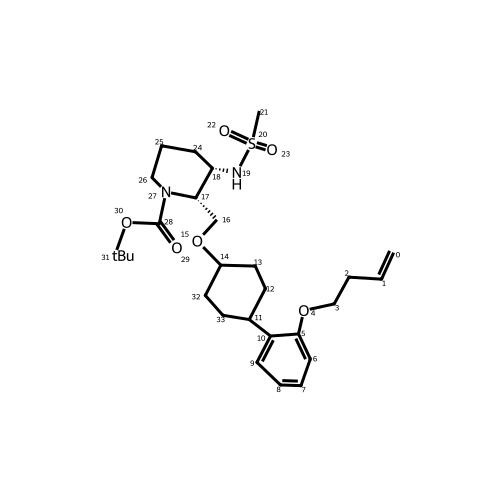 C=CCCOc1ccccc1C1CCC(OC[C@H]2[C@@H](NS(C)(=O)=O)CCCN2C(=O)OC(C)(C)C)CC1